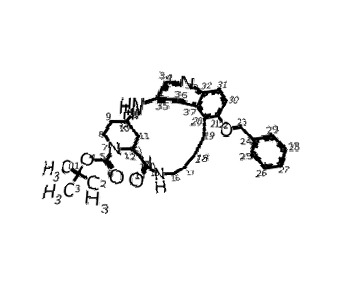 CC(C)(C)OC(=O)N1CC[C@H]2C[C@H]1C(=O)NCCCCc1c(OCc3ccccc3)ccc3ncc(cc13)N2